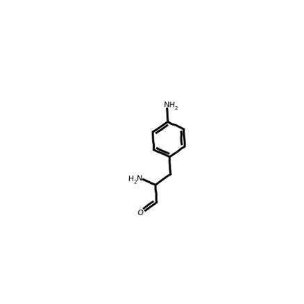 Nc1ccc(CC(N)C=O)cc1